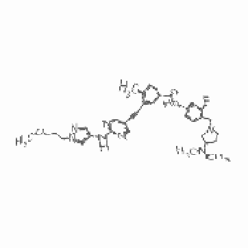 COCCCn1cc(Nc2ncc(C#Cc3cc(C(=O)Nc4ccc(CN5CCC(N(C)C)C5)c(F)c4)ccc3C)cn2)cn1